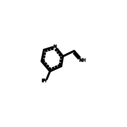 CC(C)c1ccnc(C=N)c1